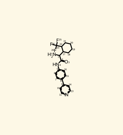 NC(C(=O)Nc1ccc(-c2ccncc2)cc1)C1CCCCC1C(F)(F)F